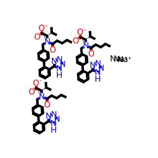 CCCCC(=O)N(Cc1ccc(-c2ccccc2-c2nnn[nH]2)cc1)[C@H](C(=O)[O-])C(C)C.CCCCC(=O)N(Cc1ccc(-c2ccccc2-c2nnn[nH]2)cc1)[C@H](C(=O)[O-])C(C)C.CCCCC(=O)N(Cc1ccc(-c2ccccc2-c2nnn[nH]2)cc1)[C@H](C(=O)[O-])C(C)C.[Na+].[Na+].[Na+]